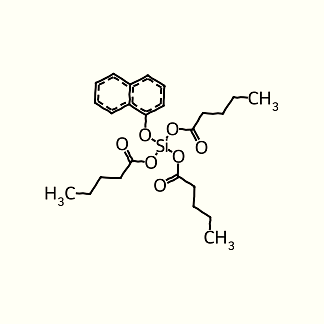 CCCCC(=O)O[Si](OC(=O)CCCC)(OC(=O)CCCC)Oc1cccc2ccccc12